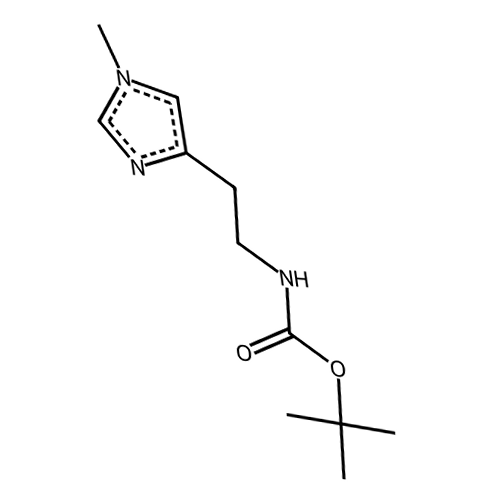 Cn1cnc(CCNC(=O)OC(C)(C)C)c1